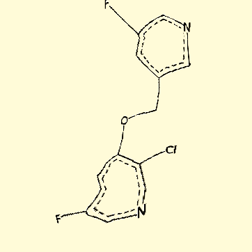 Fc1cncc(COc2cc(F)cnc2Cl)c1